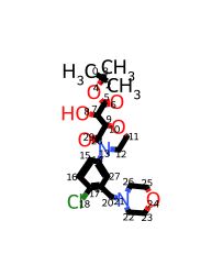 CC(C)(C)OC(=O)C(O)C1OCCN(c2ccc(Cl)c(CN3CCOCC3)c2)C1=O